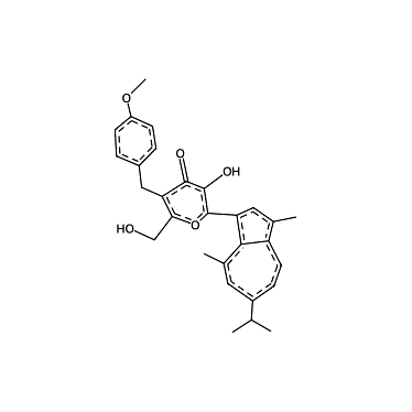 COc1ccc(Cc2c(CO)oc(-c3cc(C)c4ccc(C(C)C)cc(C)c3-4)c(O)c2=O)cc1